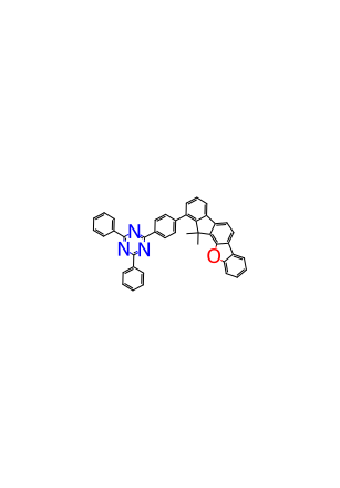 CC1(C)c2c(-c3ccc(-c4nc(-c5ccccc5)nc(-c5ccccc5)n4)cc3)cccc2-c2ccc3c(oc4ccccc43)c21